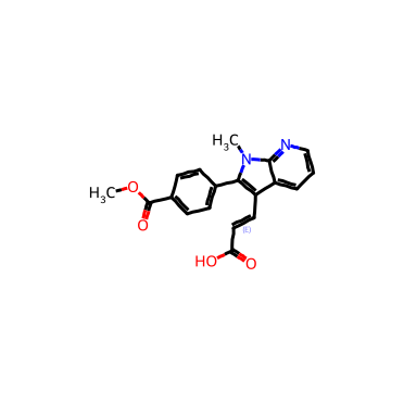 COC(=O)c1ccc(-c2c(/C=C/C(=O)O)c3cccnc3n2C)cc1